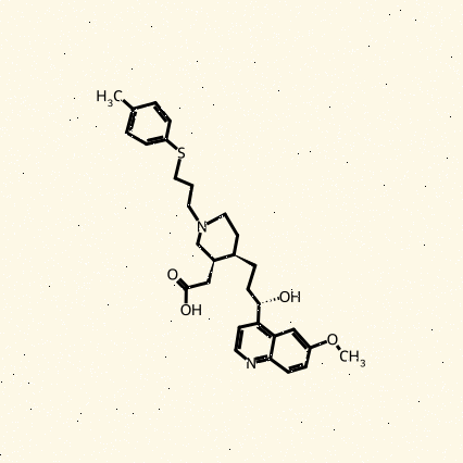 COc1ccc2nccc([C@@H](O)CC[C@@H]3CCN(CCCSc4ccc(C)cc4)C[C@@H]3CC(=O)O)c2c1